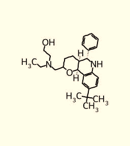 CCN(CCO)CC1CC[C@@H]2[C@H](O1)c1cc(C(C)(C)C)ccc1N[C@H]2c1ccccc1